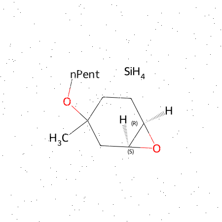 CCCCCOC1(C)CC[C@H]2O[C@H]2C1.[SiH4]